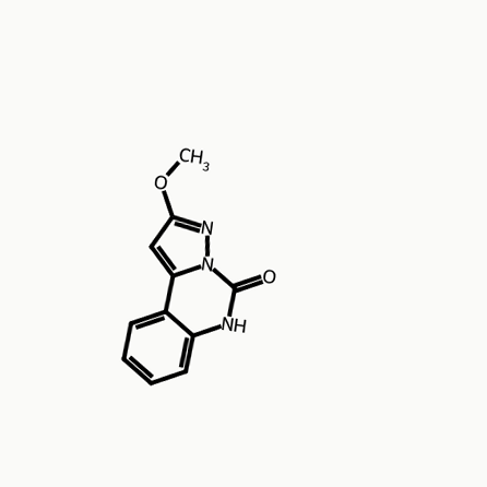 COc1cc2c3ccccc3[nH]c(=O)n2n1